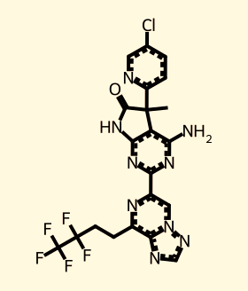 CC1(c2ccc(Cl)cn2)C(=O)Nc2nc(-c3cn4ncnc4c(CCC(F)(F)C(F)(F)F)n3)nc(N)c21